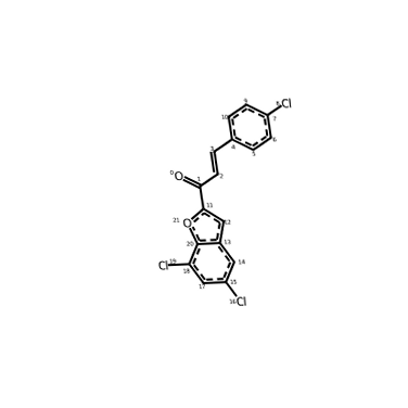 O=C(/C=C/c1ccc(Cl)cc1)c1cc2cc(Cl)cc(Cl)c2o1